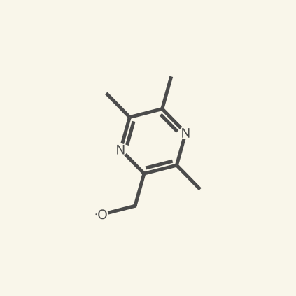 Cc1nc(C)c(C[O])nc1C